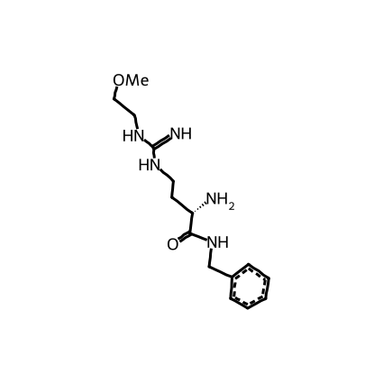 COCCNC(=N)NCC[C@H](N)C(=O)NCc1ccccc1